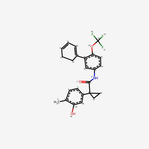 Cc1ccc(C2(C(=O)Nc3ccc(OC(F)(F)F)c(C4=CC=CCC4)c3)CC2)cc1O